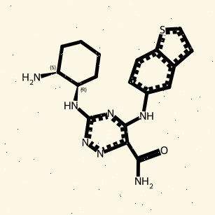 NC(=O)c1nnc(N[C@@H]2CCCC[C@@H]2N)nc1Nc1ccc2sccc2c1